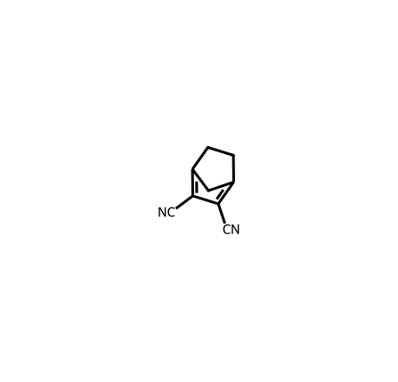 N#CC1=C2CCC(=C1C#N)C2